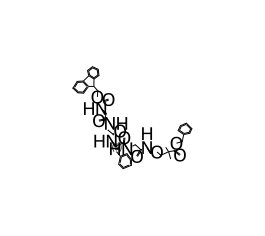 CC(C)(COCNC(=O)CNC(=O)[C@H](Cc1ccccc1)NC(=O)CNC(=O)CNC(=O)OCC1c2ccccc2-c2ccccc21)C(=O)OCc1ccccc1